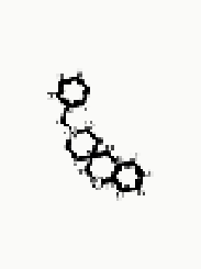 c1ccc(CN2CCC3(CC2)COc2ccccc2C3)cc1